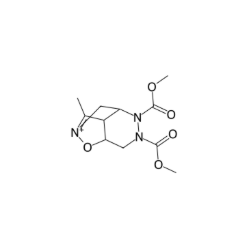 COC(=O)N1CC2O[N+]3=C(C)C2C(C3)N1C(=O)OC